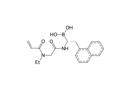 C=CC(=O)N(CC)CC(=O)N[C@@H](Cc1cccc2ccccc12)B(O)O